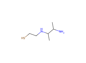 CC(N)C(C)NCCS